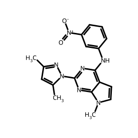 Cc1cc(C)n(-c2nc(Nc3cccc([N+](=O)[O-])c3)c3ccn(C)c3n2)n1